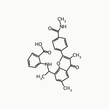 CNC(=O)c1ccc(-c2oc3c(C(C)Nc4ccccc4C(=O)O)cc(C)cc3c(=O)c2C)cc1